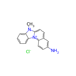 Cn1c2ccccc2[n+]2c3ccc(N)cc3ccc12.[Cl-]